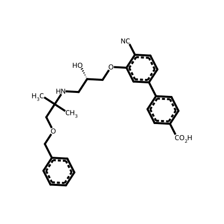 CC(C)(COCc1ccccc1)NC[C@H](O)COc1cc(-c2ccc(C(=O)O)cc2)ccc1C#N